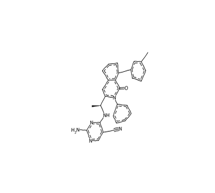 Cc1cccc(-c2cccc3cc([C@H](C)Nc4nc(N)ncc4C#N)n(-c4ccccc4)c(=O)c23)c1